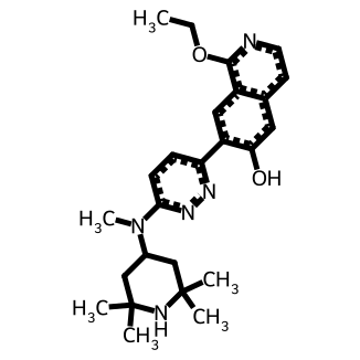 CCOc1nccc2cc(O)c(-c3ccc(N(C)C4CC(C)(C)NC(C)(C)C4)nn3)cc12